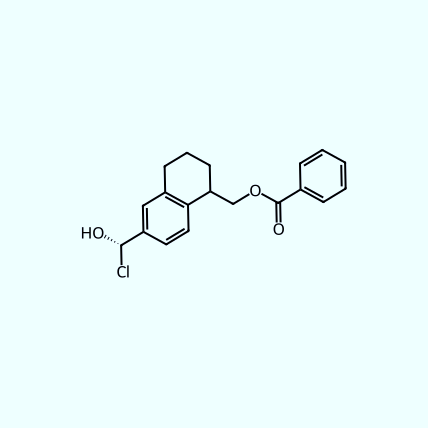 O=C(OCC1CCCc2cc([C@@H](O)Cl)ccc21)c1ccccc1